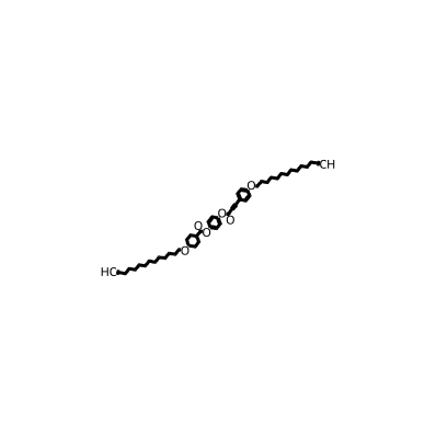 C#CCCCCCCCCCCCCOc1ccc(C#CC(=O)Oc2ccc(OC(=O)C3CCC(OCCCCCCCCCCCCC#C)CC3)cc2)cc1